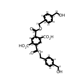 O=C(O)c1cc(C(=O)OCc2ccc(CO)cc2)c(C(=O)O)cc1C(=O)OCc1ccc(CO)cc1